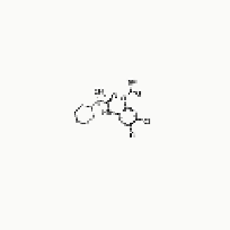 C[C@H](C(=O)Nc1cc(Cl)c(Cl)cc1OC(=S)C(C)(C)C)C1CCCCC1